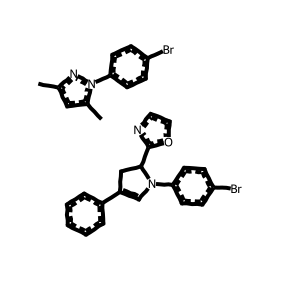 Brc1ccc(N2C=C(c3ccccc3)CC2c2ncco2)cc1.Cc1cc(C)n(-c2ccc(Br)cc2)n1